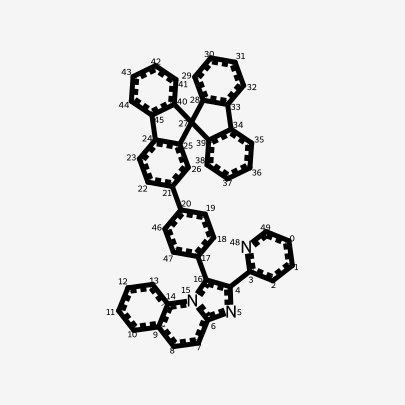 c1ccc(-c2nc3ccc4ccccc4n3c2-c2ccc(-c3ccc4c(c3)C3(c5ccccc5-c5ccccc53)c3ccccc3-4)cc2)nc1